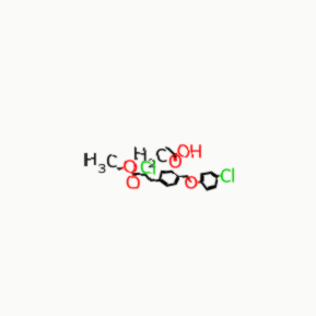 C=CC(=O)O.CCOC(=O)C(Cl)Cc1ccc(COc2ccc(Cl)cc2)cc1